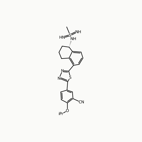 CC(C)Oc1ccc(-c2nnc(-c3cccc4c3CCC[C@@H]4NS(C)(=N)=N)s2)cc1C#N